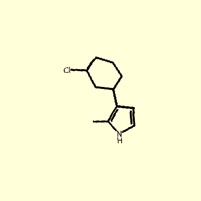 Cc1[nH]ccc1C1CCCC(Cl)C1